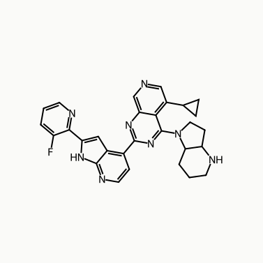 Fc1cccnc1-c1cc2c(-c3nc(N4CCC5NCCCC54)c4c(C5CC5)cncc4n3)ccnc2[nH]1